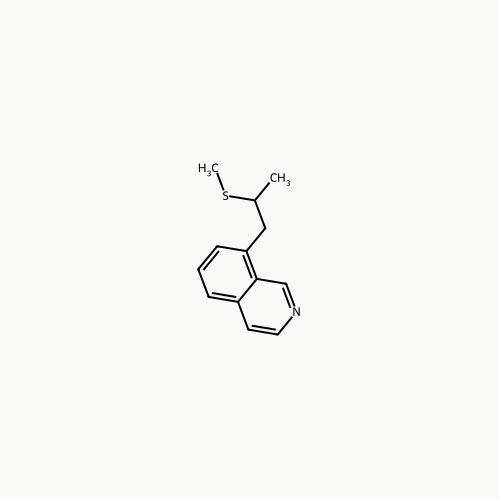 CSC(C)Cc1cccc2ccncc12